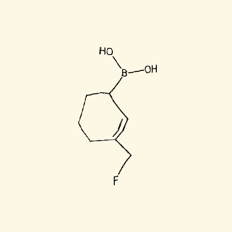 OB(O)C1C=C(CF)CCC1